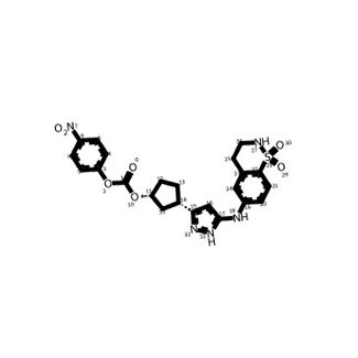 O=C(Oc1ccc([N+](=O)[O-])cc1)O[C@@H]1CC[C@H](c2cc(Nc3ccc4c(c3)CCNS4(=O)=O)[nH]n2)C1